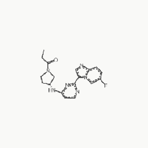 CCC(=O)N1CC[C@@H](Nc2ccnc(-c3cnc4ccc(F)cn34)n2)C1